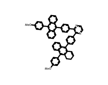 COc1ccc(-c2c3c(c(-c4ccc(-c5nccnc5-c5ccc(-c6c7ccccc7c(-c7ccc(OC)cc7)c7ccccc67)cc5)cc4)c4ccccc24)C=CCC3)cc1